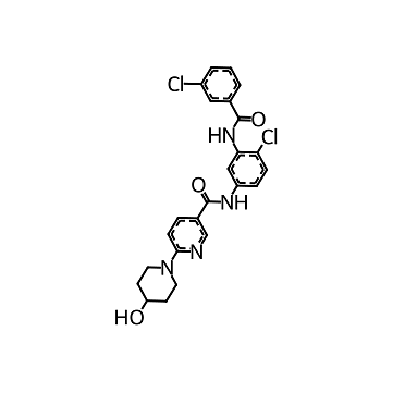 O=C(Nc1ccc(Cl)c(NC(=O)c2cccc(Cl)c2)c1)c1ccc(N2CCC(O)CC2)nc1